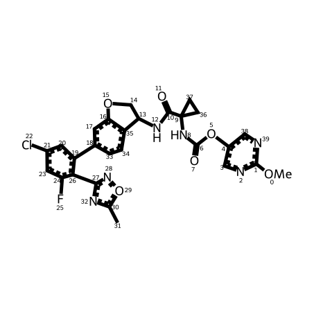 COc1ncc(OC(=O)NC2(C(=O)NC3COc4cc(-c5cc(Cl)cc(F)c5-c5noc(C)n5)ccc43)CC2)cn1